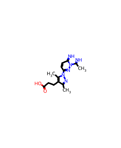 CC(=N)n1nc(-n2nc(C)c(CCC(=O)O)c2C)ccc1=N